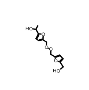 CC(O)c1ccc(COOCc2ccc(CO)o2)o1